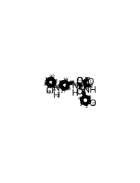 O=C1CCCC(C(=O)N[C@]2(OC(=O)NCc3ccc(Nc4ccccc4C(F)(F)F)cc3)CCOC2)C1